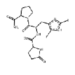 NC(=O)C1CCCN1C(=O)C(Cc1nc(I)[nH]c1I)NC(=O)C1CCC(=O)N1